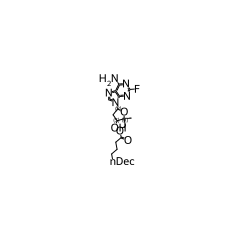 CCCCCCCCCCCCCC(=O)OC[C@@]1(C)O[C@@H](n2cnc3c(N)nc(F)nc32)C[C@@H]1O